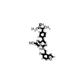 CC(c1ccc(-c2cnc(NCc3c(F)ccc4c3CCO4)n3cc(C#N)nc23)cc1)N(C)C